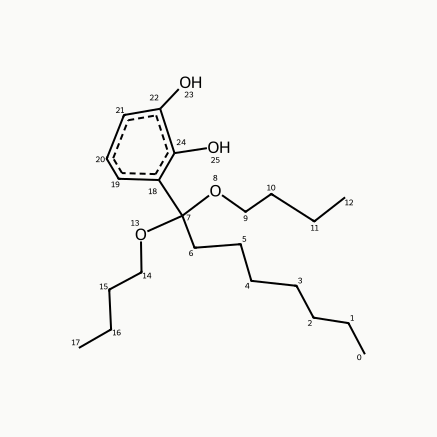 CCCCCCCC(OCCCC)(OCCCC)c1cccc(O)c1O